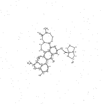 CN1CCCN2c3nc(OC[C@@]45CCCN4C[C@H](F)C5)nc4c(F)c(-c5ccc(F)c6sc(N)c(C#N)c56)c(Cl)c(c34)OCC2CC1=O